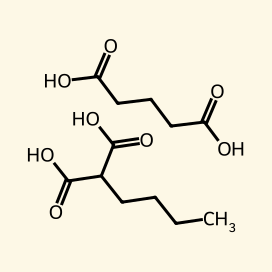 CCCCC(C(=O)O)C(=O)O.O=C(O)CCCC(=O)O